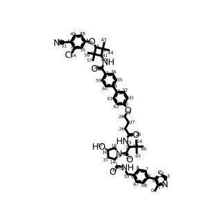 Cc1ncsc1-c1ccc(CNC(=O)[C@@H]2C[C@@H](O)CN2C(=O)[C@@H](NC(=O)CCCOc2ccc(-c3ccc(C(=O)NC4C(C)(C)C(Oc5ccc(C#N)c(Cl)c5)C4(C)C)cc3)cc2)C(C)(C)C)cc1